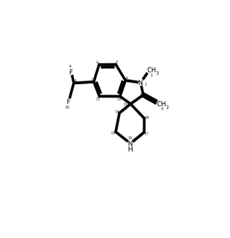 C=C1N(C)c2ccc(C(F)F)cc2C12CCNCC2